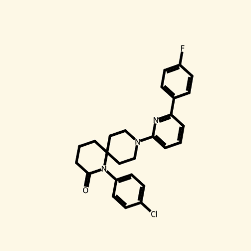 O=C1CCCC2(CCN(c3cccc(-c4ccc(F)cc4)n3)CC2)N1c1ccc(Cl)cc1